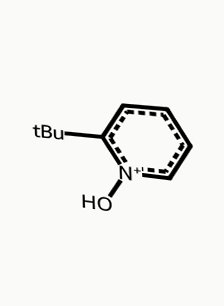 CC(C)(C)c1cccc[n+]1O